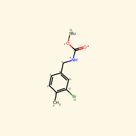 Cc1ccc(CNC(=O)OC(C)(C)C)cc1Br